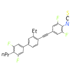 CCCc1c(F)cc(-c2ccc(C#Cc3cc(F)c(N=C=S)c(F)c3)c(CC)c2)cc1F